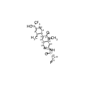 Cc1cc([C@H](O)C(F)(F)F)ncc1-c1cc2cnc(NC(=O)[C@@H]3C[C@H]3F)cc2n(C)c1=O